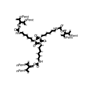 CCCCCC(C)C(=NOC(=O)NCCCCCCn1c(=O)n(CCCCCCNC(=O)ON=C(C(C)CCCCC)C(C)CCCCC)c(=O)n(CCCCCCNC(=O)ON=C(C(C)CCCCC)C(C)CCCCC)c1=O)C(C)CCCCC